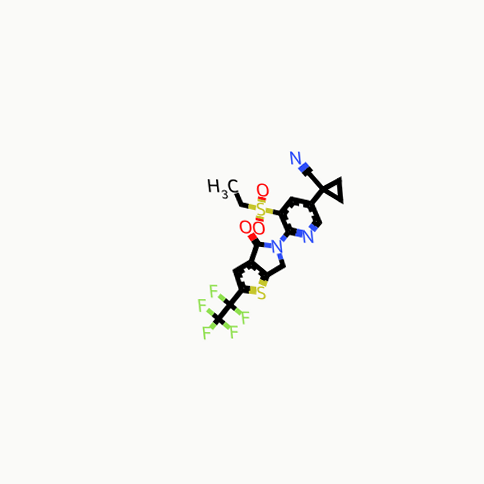 CCS(=O)(=O)c1cc(C2(C#N)CC2)cnc1N1Cc2sc(C(F)(F)C(F)(F)F)cc2C1=O